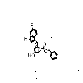 O=C(OCc1ccccc1)N1CC(O)C[C@H]1Cc1c[nH]c2cc(F)ccc12